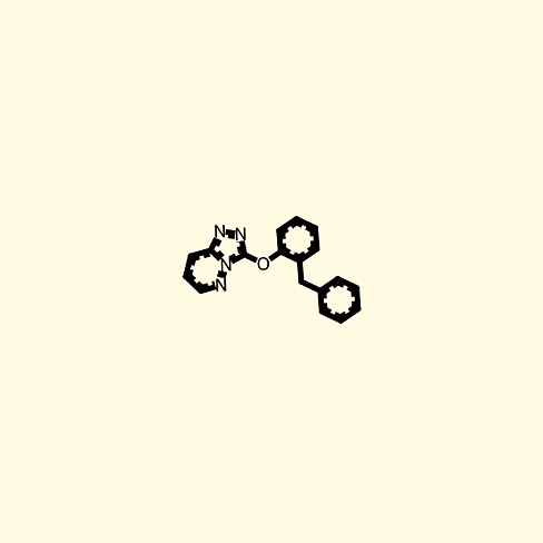 c1ccc(Cc2ccccc2Oc2nnc3cccnn23)cc1